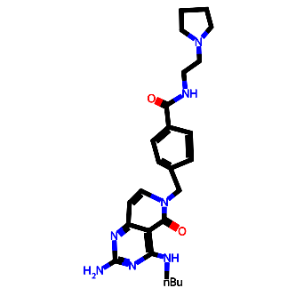 CCCCNc1nc(N)nc2ccn(Cc3ccc(C(=O)NCCN4CCCC4)cc3)c(=O)c12